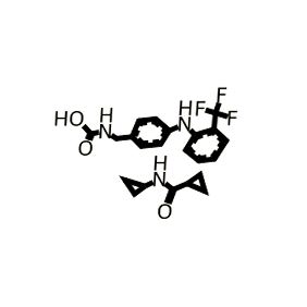 O=C(NC1CC1)C1CC1.O=C(O)NCc1ccc(Nc2ccccc2C(F)(F)F)cc1